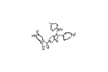 Cc1ccc(Nc2c(-c3ccc(F)cc3)nc3n2CCN(C(=O)c2cc(=O)[nH]c[n+]2[O-])C3)cc1